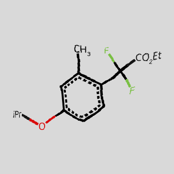 CCOC(=O)C(F)(F)c1ccc(OC(C)C)cc1C